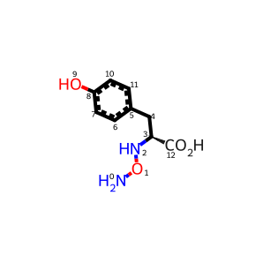 NON[C@@H](Cc1ccc(O)cc1)C(=O)O